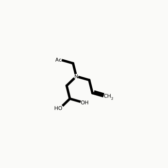 C=CCN(CC(C)=O)CC(O)O